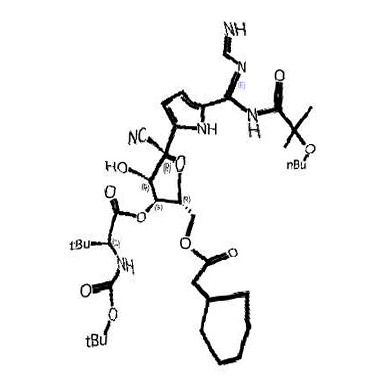 CCCCOC(C)(C)C(=O)N/C(=N/C=N)c1ccc([C@]2(C#N)O[C@H](COC(=O)CC3CCCCC3)[C@@H](OC(=O)[C@@H](NC(=O)OC(C)(C)C)C(C)(C)C)[C@H]2O)[nH]1